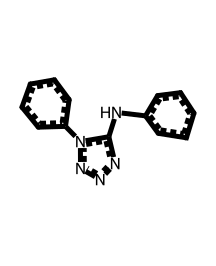 c1ccc(Nc2nnnn2-c2ccccc2)cc1